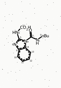 CCCCNC(=O)n1c(NC(=O)O)nc2ccccc21